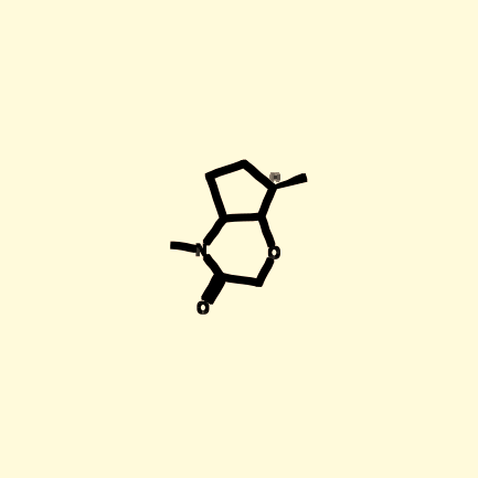 C[C@@H]1CCC2C1OCC(=O)N2C